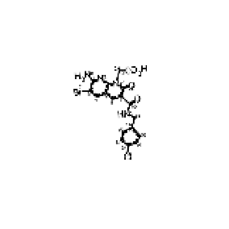 Nc1nc2c(cc1Br)cc(C(=O)NCc1ccc(Cl)cc1)c(=O)n2CC(=O)O